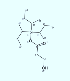 CCC(C)[Si](OC(=O)CCO)(C(C)CC)C(C)CC